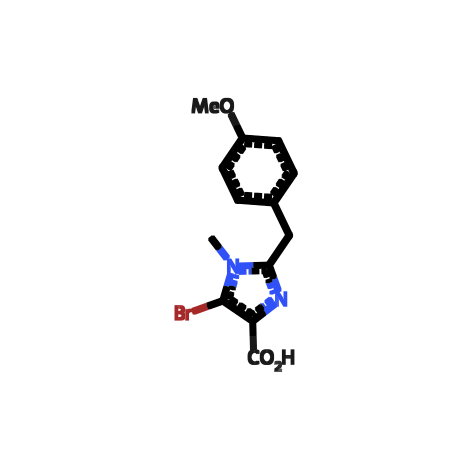 COc1ccc(Cc2nc(C(=O)O)c(Br)n2C)cc1